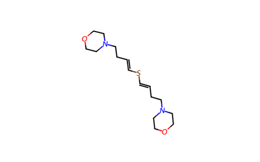 C(=CSC=CCCN1CCOCC1)CCN1CCOCC1